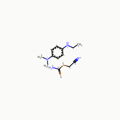 CCNc1ccc(N(C)C)cc1.N#CCSC(N)=S